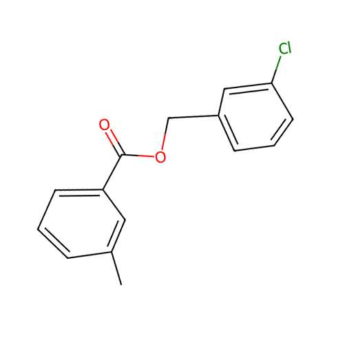 Cc1cccc(C(=O)OCc2cccc(Cl)c2)c1